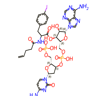 C=CCCC(=O)NC(Cc1ccc(I)cc1)C(=O)O[C@H]1[C@@H](O)[C@H](n2cnc3c(N)ncnc32)O[C@@H]1COP(=O)(O)O[C@H]1C[C@H](n2ccc(N)nc2=O)O[C@@H]1COP(=O)(O)O